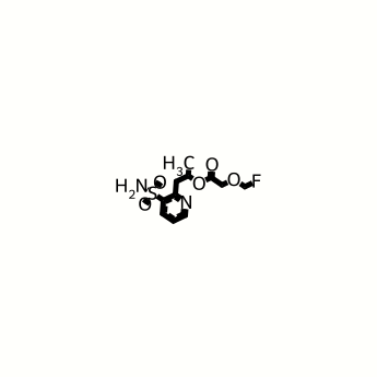 CC(Cc1ncccc1S(N)(=O)=O)OC(=O)COCF